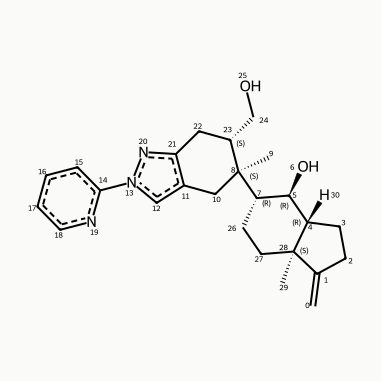 C=C1CC[C@H]2[C@H](O)[C@@H]([C@@]3(C)Cc4cn(-c5ccccn5)nc4C[C@@H]3CO)CC[C@]12C